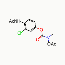 CC(=O)Nc1ccc(OC(=O)N(C)OC(C)=O)cc1Cl